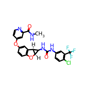 CNC(=O)c1cc(Oc2ccc3c(c2)[C@H]2C(NC(=O)Nc4ccc(Cl)c(C(F)(F)F)c4)[C@H]2O3)ccn1